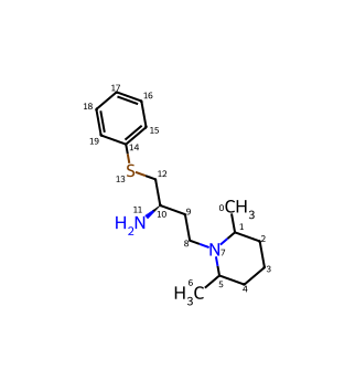 CC1CCCC(C)N1CC[C@@H](N)CSc1ccccc1